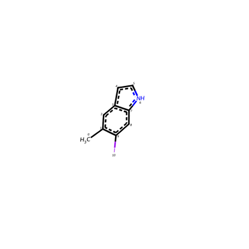 Cc1cc2cc[nH]c2cc1I